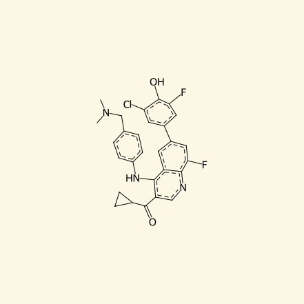 CN(C)Cc1ccc(Nc2c(C(=O)C3CC3)cnc3c(F)cc(-c4cc(F)c(O)c(Cl)c4)cc23)cc1